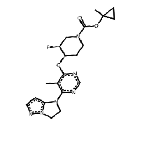 Cc1c(O[C@@H]2CCN(C(=O)OC3(C)CC3)C[C@@H]2F)ncnc1N1CCn2nccc21